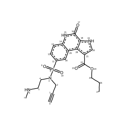 C#CCN(CCNC)S(=O)(=O)c1ccc2[nH]c(=O)c3[nH]cc(C(=O)OCCC)c3c2c1